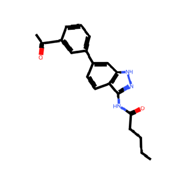 CCCCC(=O)Nc1n[nH]c2cc(-c3cccc(C(C)=O)c3)ccc12